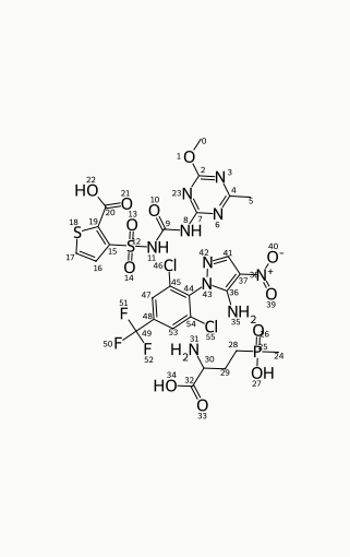 COc1nc(C)nc(NC(=O)NS(=O)(=O)c2ccsc2C(=O)O)n1.CP(=O)(O)CCC(N)C(=O)O.Nc1c([N+](=O)[O-])cnn1-c1c(Cl)cc(C(F)(F)F)cc1Cl